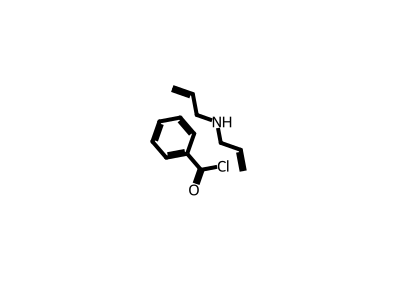 C=CCNCC=C.O=C(Cl)c1ccccc1